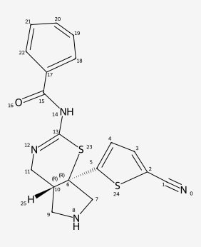 N#Cc1ccc([C@]23CNC[C@@H]2CN=C(NC(=O)c2ccccc2)S3)s1